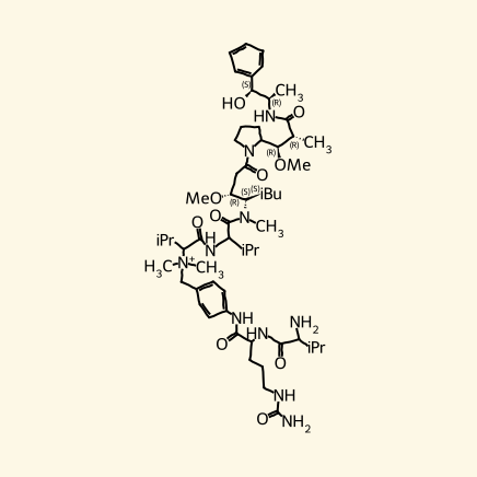 CC[C@H](C)[C@@H]([C@@H](CC(=O)N1CCCC1[C@H](OC)[C@@H](C)C(=O)N[C@H](C)[C@@H](O)c1ccccc1)OC)N(C)C(=O)C(NC(=O)C(C(C)C)[N+](C)(C)Cc1ccc(NC(=O)C(CCCNC(N)=O)NC(=O)C(N)C(C)C)cc1)C(C)C